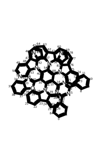 c1ccc(-c2nc(-c3ccccc3)nc(-c3c(-n4c5ccccc5c5ccncc54)c(-c4nc5ccccc5o4)c(-n4c5ccccc5c5ccncc54)c(-n4c5ccccc5c5ccncc54)c3-n3c4ccccc4c4ccncc43)n2)cc1